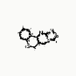 c1ccc2c(c1)SCc1cn3cnnc3nc1-2